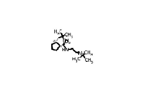 CC(C)(C)C[C@H]1CCC[C@H]1C(=O)NCCNC(C)(C)C